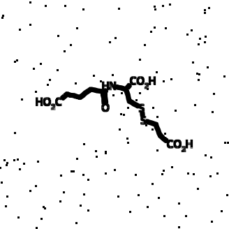 O=C(O)CCCC(=O)NC(CSSCCC(=O)O)C(=O)O